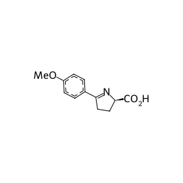 COc1ccc(C2=N[C@@H](C(=O)O)CC2)cc1